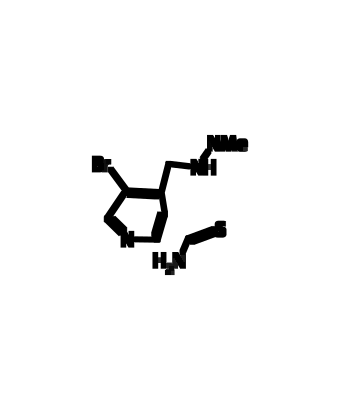 CNNCc1ccncc1Br.NC=S